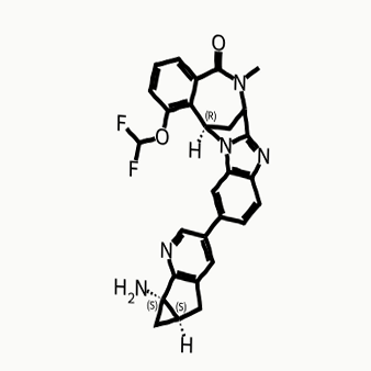 CN1C(=O)c2cccc(OC(F)F)c2[C@H]2CC1c1nc3ccc(-c4cnc5c(c4)C[C@H]4C[C@@]54N)cc3n12